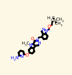 Cn1c2cc(Oc3cccc(N)n3)ccc2c2cnn(Cc3cccc4c3cnn4COCC[Si](C)(C)C)c(=O)c21